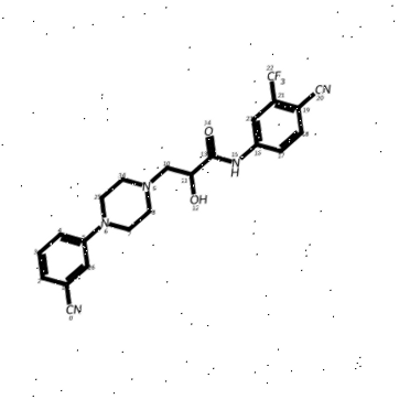 N#Cc1cccc(N2CCN(CC(O)C(=O)Nc3ccc(C#N)c(C(F)(F)F)c3)CC2)c1